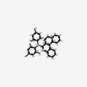 Cc1cc(C)c(B(c2c(C)cc(C)cc2C)c2nc3ccccc3c3c2ccc2ccccc23)c(C)c1